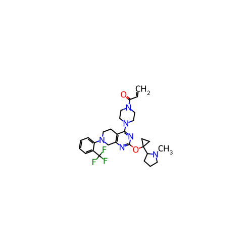 C=CC(=O)N1CCN(c2nc(OC3(C4CCCN4C)CC3)nc3c2CCN(c2ccccc2C(F)(F)F)C3)CC1